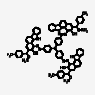 NOC(c1ccc(C(F)(F)F)cc1)c1cc2ccc3c4ccccc4[nH]c3c2c(N=Nc2ccc(N(c3ccc(N=Nc4c(O)c(C(ON)c5ccc(C(F)(F)F)cc5)cc5ccc6c7ccccc7[nH]c6c45)cc3)c3ccc(N=Nc4c(O)c(C(ON)c5ccc(C(F)(F)F)cc5)cc5ccc6c7ccccc7[nH]c6c45)cc3)cc2)c1O